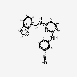 N#Cc1cccc(Nc2nccc(NCc3cccc4c3OCO4)n2)c1